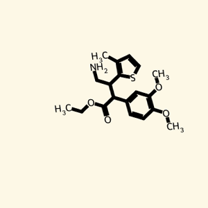 CCOC(=O)C(c1ccc(OC)c(OC)c1)C(CN)c1sccc1C